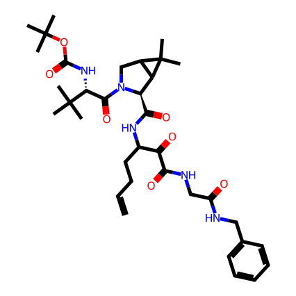 C=CCCC(NC(=O)[C@@H]1C2C(CN1C(=O)[C@@H](NC(=O)OC(C)(C)C)C(C)(C)C)C2(C)C)C(=O)C(=O)NCC(=O)NCc1ccccc1